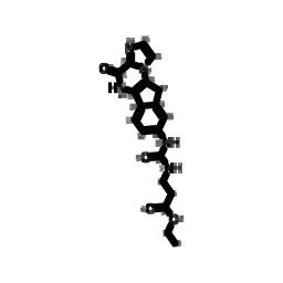 CCOC(=O)CCNC(=O)Nc1ccc2c(c1)Cc1c-2[nH]c(=O)c2nccn12